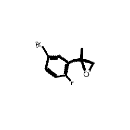 CC1(c2cc(Br)ccc2F)CO1